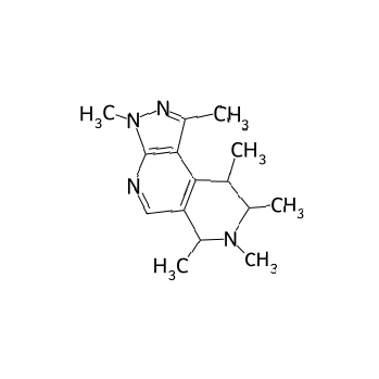 Cc1nn(C)c2ncc3c(c12)C(C)C(C)N(C)C3C